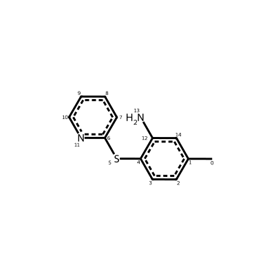 Cc1ccc(Sc2ccccn2)c(N)c1